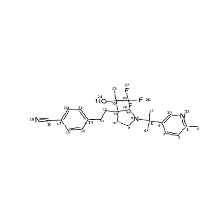 Cc1ccc(C(C)(C)N2CCC(CCc3ccc(C#N)cc3)(C(C)(O)C(F)(F)F)C2)cn1